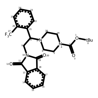 CC(C)(C)OC(=O)N1CCN(C(CN2C(=O)c3ccccc3C2=O)c2ccccc2C(F)(F)F)CC1